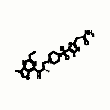 CCc1nc(N[C@@H](C)CN2CCN(S(=O)(=O)c3sc(CC(N)=O)nc3C)CC2)c2scc(C)c2n1